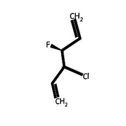 C=C[C](Cl)[C@@H](F)C=C